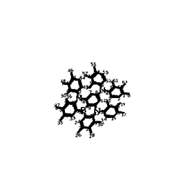 Cc1ccc(N(c2cc3c4c(c2)N(c2ccc(C)c(C)c2C)c2c(cc(C)c(C)c2C)B4c2cc(C)c(C)c(C)c2N3c2ccc(C)c(C)c2C)c2ccc(C)c(C)c2C)c(C)c1C